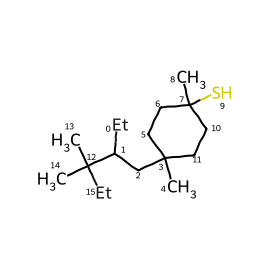 CCC(CC1(C)CCC(C)(S)CC1)C(C)(C)CC